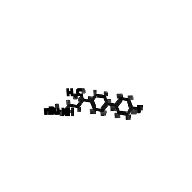 CCCCNCCC(C)c1ccc(-c2ccc(F)cc2)cc1